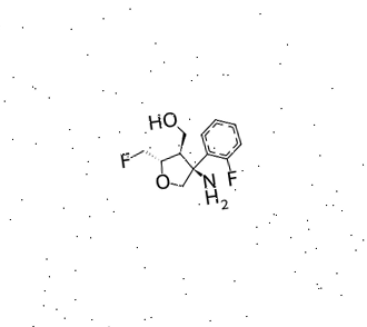 N[C@@]1(c2ccccc2F)CO[C@H](CF)[C@H]1CO